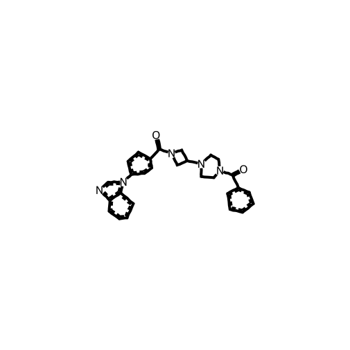 O=C(c1ccccc1)N1CCN(C2CN(C(=O)c3ccc(-n4cnc5ccccc54)cc3)C2)CC1